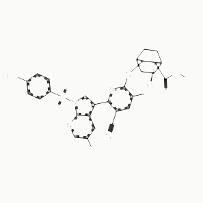 COC(=O)[C@H]1C2CCC(CC2)[C@@H]1Nc1nc(-c2cn(S(=O)(=O)c3ccc(C)cc3)c3ncc(F)cc23)c(C#N)cc1F